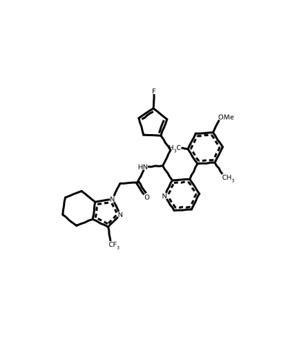 COc1cc(C)c(-c2cccnc2C(CC2=CC(F)=CC2)NC(=O)Cn2nc(C(F)(F)F)c3c2CCCC3)c(C)c1